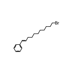 BrCCCCCCCCCC=Cc1ccccc1